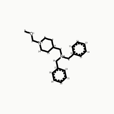 COCN1CCC(CN(Cc2ccccc2)Cc2ccccc2)CC1